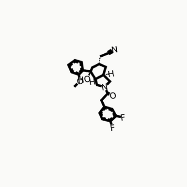 COc1ccccc1[C@]1(O)C[C@H](CC#N)C[C@H]2CN(C(=O)Cc3ccc(F)c(F)c3)C[C@H]21